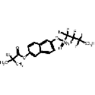 CCC(C)(C)C(=O)Oc1ccc2cc(OS(=O)(=O)C(F)(F)C(F)(F)C(F)(F)S(=O)(=O)O)ccc2c1